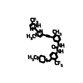 Cc1ccc(NC(=O)Nc2ccc(CN3CCN(C)CC3)c(C(F)(F)F)c2)cc1C#Cc1cn(C)c(-c2ncc(C(F)(F)F)[nH]2)n1